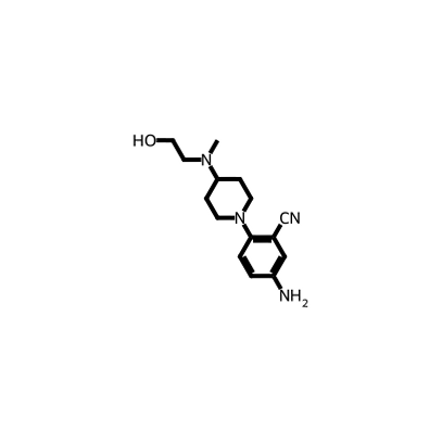 CN(CCO)C1CCN(c2ccc(N)cc2C#N)CC1